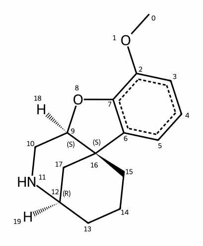 COc1cccc2c1O[C@@H]1CN[C@@H]3CCC[C@]21C3